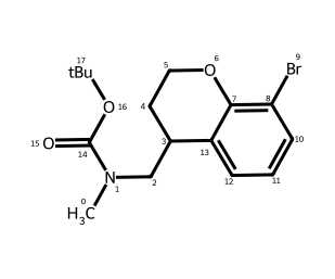 CN(CC1CCOc2c(Br)cccc21)C(=O)OC(C)(C)C